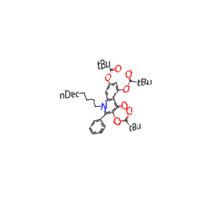 CCCCCCCCCCCCCCn1c(-c2ccccc2)c(OC(=O)C(C)(C)C)c(=O)c2c(OC(=O)C(C)(C)C)cc(OC(=O)C(C)(C)C)cc21